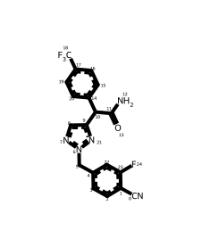 N#Cc1ccc(Cn2ncc(C(C(N)=O)c3ccc(C(F)(F)F)cc3)n2)cc1F